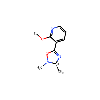 CCOc1ncccc1C1=N[C@H](C)N(C)O1